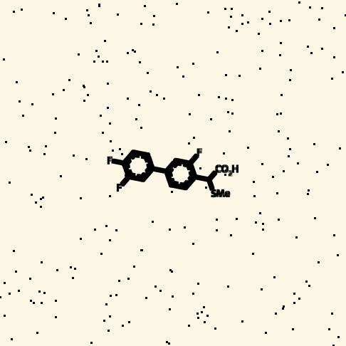 CSC(C(=O)O)c1ccc(-c2ccc(F)c(F)c2)cc1F